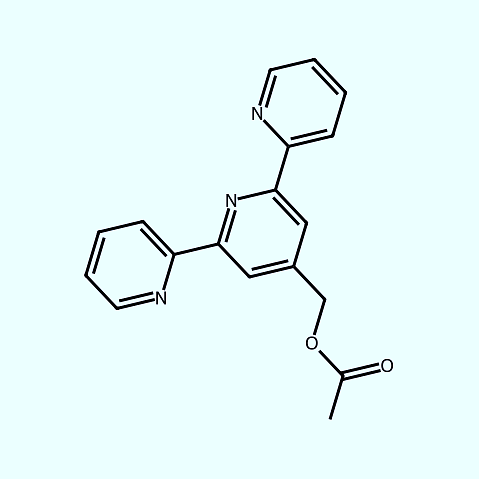 CC(=O)OCc1cc(-c2ccccn2)nc(-c2ccccn2)c1